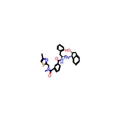 Cc1csc(CN(C)C(=O)c2cccc(C(=O)N[C@H](CN[C@@H]3c4ccccc4C[C@@H]3O)Cc3ccccc3)c2)n1